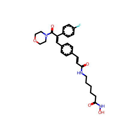 O=C(C=Cc1ccc(/C=C(/C(=O)N2CCOCC2)c2ccc(F)cc2)cc1)NCCCCCC(=O)NO